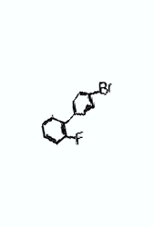 Fc1ccc[c]c1-c1ccc(Br)cc1